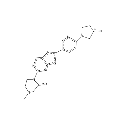 CN1CCN(c2cc3sc(-c4ccc(N5CC[C@H](F)C5)nc4)nc3cn2)C(=O)C1